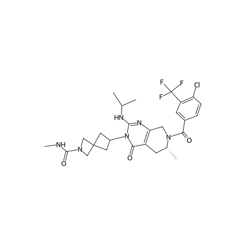 CNC(=O)N1CC2(CC(n3c(NC(C)C)nc4c(c3=O)C[C@@H](C)N(C(=O)c3ccc(Cl)c(C(F)(F)F)c3)C4)C2)C1